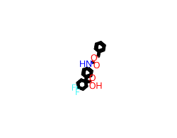 O=C(Nc1ccc(C2(C(=O)O)CCC(F)(F)CC2)cc1)OCc1ccccc1